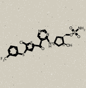 NS(=O)(=O)OC[C@H]1C[C@@H](Nc2ncncc2C(=O)c2cc(Sc3cccc(C(F)(F)F)c3)c(Cl)s2)C[C@@H]1O